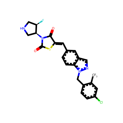 O=C1S/C(=C\c2ccc3c(cnn3Cc3ccc(Cl)cc3C(F)(F)F)c2)C(=O)N1[C@H]1CNC[C@H]1F